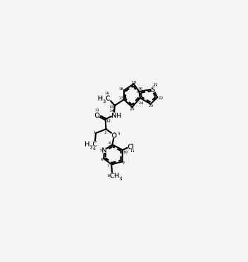 CCC(Oc1ncc(C)cc1Cl)C(=O)NC(C)c1ccc2sccc2c1